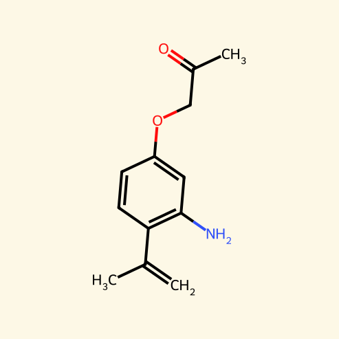 C=C(C)c1ccc(OCC(C)=O)cc1N